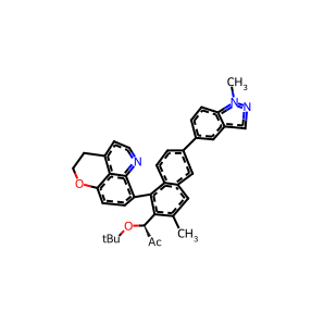 CC(=O)[C@@H](OC(C)(C)C)c1c(C)cc2cc(-c3ccc4c(cnn4C)c3)ccc2c1-c1ccc2c3c(ccnc13)CCO2